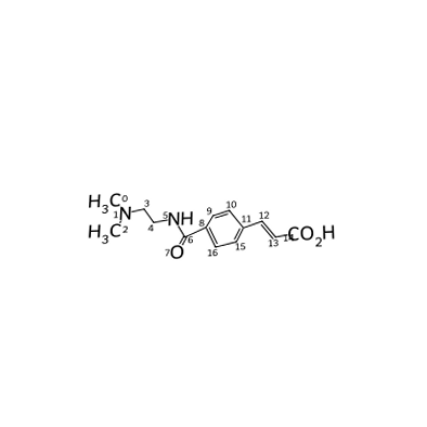 CN(C)CCNC(=O)c1ccc(/C=C/C(=O)O)cc1